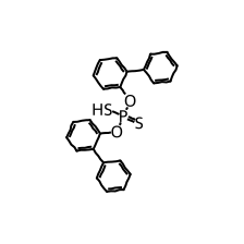 S=P(S)(Oc1ccccc1-c1ccccc1)Oc1ccccc1-c1ccccc1